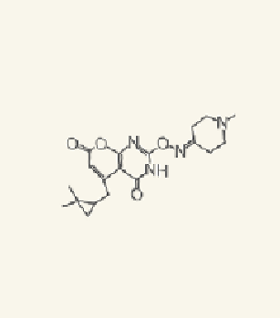 CN1CCC(=NOc2nc3oc(=O)cc(CC4CC4(C)C)c3c(=O)[nH]2)CC1